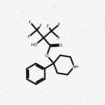 O=C(OC1(c2ccccc2)CCNCC1)C(O)(C(F)(F)F)C(F)(F)F